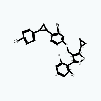 [C-]#[N+]c1ccc(C2CC2c2ccc(OCc3c(-c4c(Cl)cccc4Cl)noc3C3CC3)cc2Cl)cc1